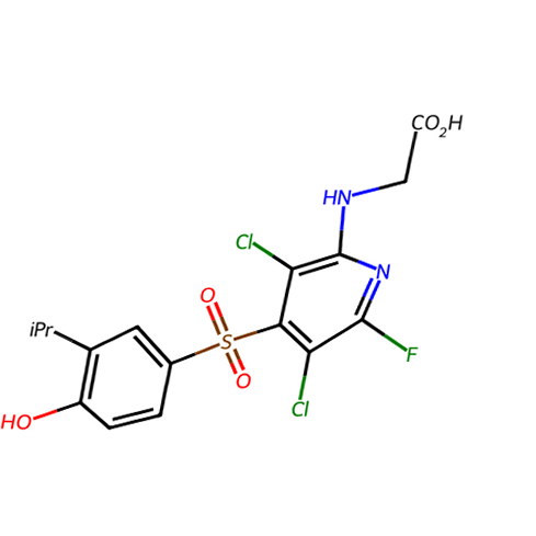 CC(C)c1cc(S(=O)(=O)c2c(Cl)c(F)nc(NCC(=O)O)c2Cl)ccc1O